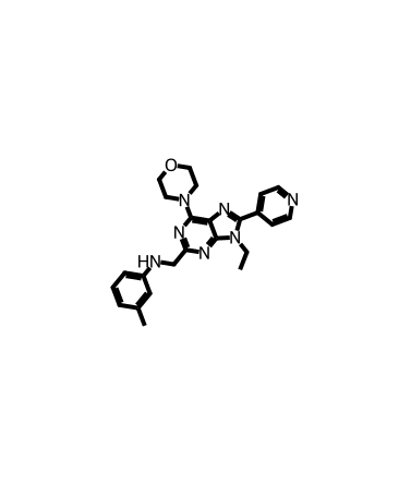 CCn1c(-c2ccncc2)nc2c(N3CCOCC3)nc(CNc3cccc(C)c3)nc21